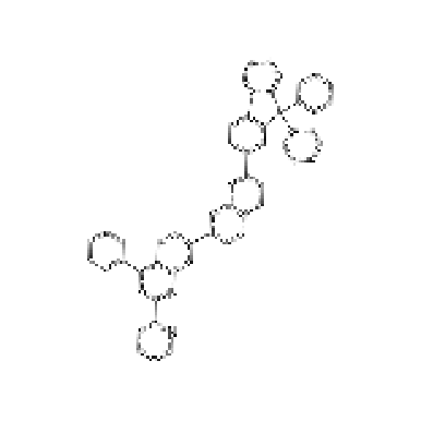 C1=C=CC(c2cc(-c3ccccn3)nc3cc(-c4ccc5ccc(-c6ccc7c(c6)C(c6ccccc6)(c6ccccc6)c6ccccc6-7)cc5c4)ccc23)=CC=1